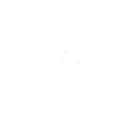 O=c1n(Cc2ccc(F)c(Cl)c2)nc2n1CCCC2